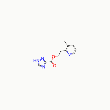 Cc1cccnc1CCOC(=O)c1nc[nH]n1